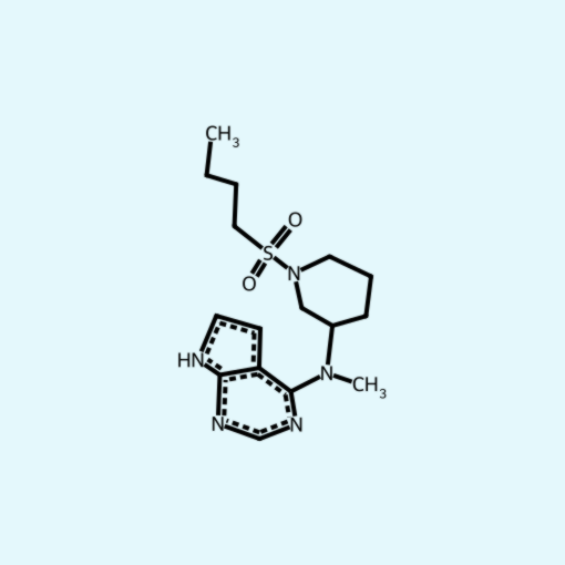 CCCCS(=O)(=O)N1CCCC(N(C)c2ncnc3[nH]ccc23)C1